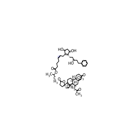 CC(=O)S[C@@H]1CC2=CC(=O)CC[C@]2(C)[C@H]2CC[C@@]3(C)[C@@H](CC[C@@]34CCC(=O)O4)[C@H]12.CC(C)OC(=O)CCC/C=C\C[C@@H]1[C@@H](CC[C@@H](O)CCc2ccccc2)[C@H](O)C[C@@H]1O